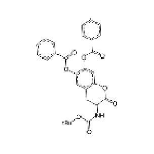 CC(C)(C)OC(=O)NC1Cc2cc(OC(=O)c3ccccc3)c(OC(=O)c3ccccc3)cc2OC1=O